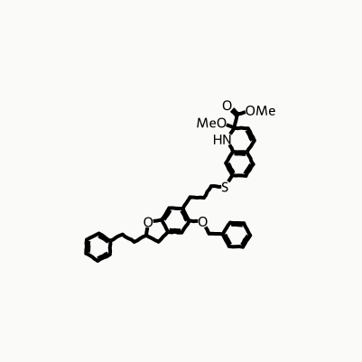 COC(=O)C1(OC)C=Cc2ccc(SCCCc3cc4c(cc3OCc3ccccc3)CC(CCc3ccccc3)O4)cc2N1